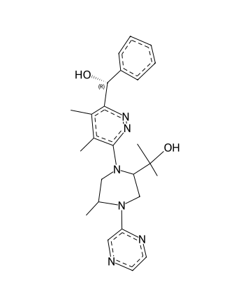 Cc1c([C@H](O)c2ccccc2)nnc(N2CC(C)N(c3cnccn3)CC2C(C)(C)O)c1C